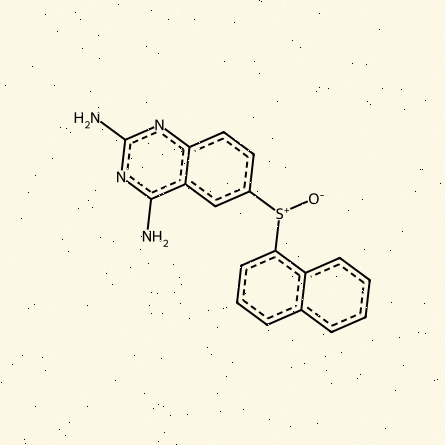 Nc1nc(N)c2cc([S+]([O-])c3cccc4ccccc34)ccc2n1